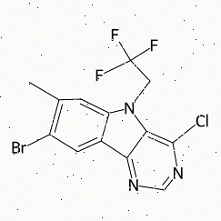 Cc1cc2c(cc1Br)c1ncnc(Cl)c1n2CC(F)(F)F